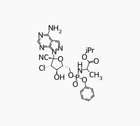 CC(C)OC(=O)C(C)N[P@](=O)(OC[C@H]1O[C@@](C#N)(n2ncc3c(N)ncnc32)[C@@H](Cl)[C@@H]1O)Oc1ccccc1